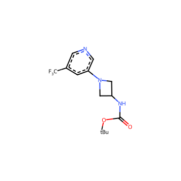 CC(C)(C)OC(=O)NC1CN(c2cncc(C(F)(F)F)c2)C1